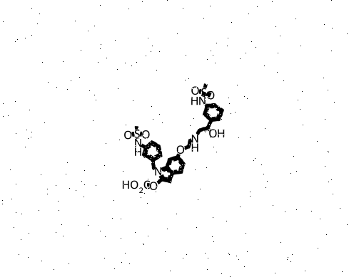 CS(=O)(=O)Nc1cccc(Cn2c(OC(=O)O)cc3ccc(OCCNC[C@H](O)c4cccc(NS(C)(=O)=O)c4)cc32)c1